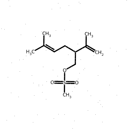 C=C(C)C(CC=C(C)C)COS(C)(=O)=O